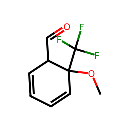 COC1(C(F)(F)F)C=CC=CC1C=O